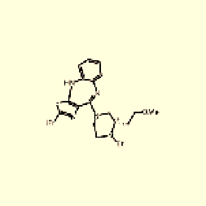 CCN1CCN(C2=Nc3ccccc3Nc3sc(C(C)C)nc32)C[C@@H]1CCOC